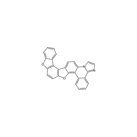 c1ccc2c(c1)oc1ccc3oc4c(ccc5c4c4ccccc4c4nccn54)c3c12